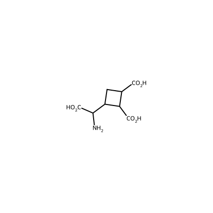 NC(C(=O)O)C1CC(C(=O)O)C1C(=O)O